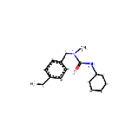 CCc1ccc(CN(C)C(=O)NC2CCCCC2)cc1